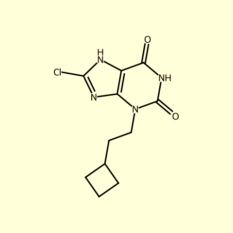 O=c1[nH]c(=O)n(CCC2CCC2)c2nc(Cl)[nH]c12